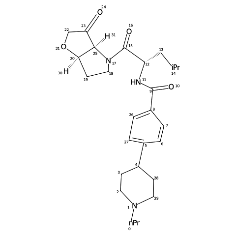 CCCN1CCC(c2ccc(C(=O)N[C@@H](CC(C)C)C(=O)N3CC[C@H]4OCC(=O)[C@H]43)cc2)CC1